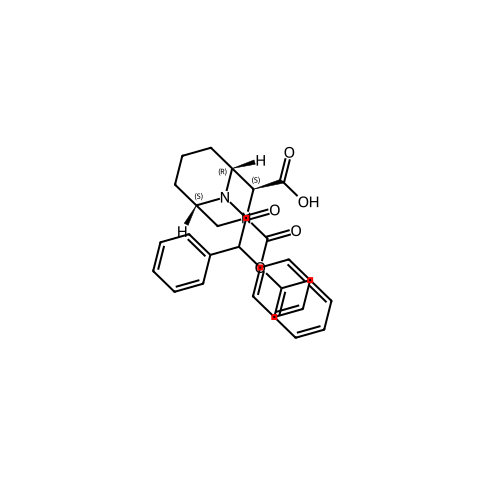 O=C(O)[C@@H]1[C@H]2CCC[C@@H](CN1C(=O)Oc1ccccc1)N2C(=O)C(c1ccccc1)c1ccccc1